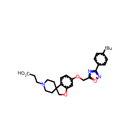 CC(C)(C)c1ccc(-c2noc(COc3ccc4c(c3)OCC43CCN(CCC(=O)O)CC3)n2)cc1